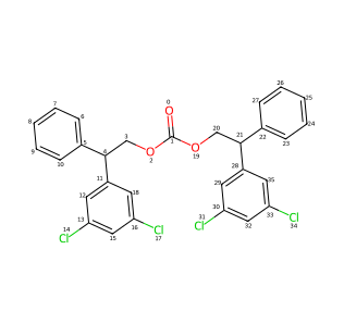 O=C(OCC(c1ccccc1)c1cc(Cl)cc(Cl)c1)OCC(c1ccccc1)c1cc(Cl)cc(Cl)c1